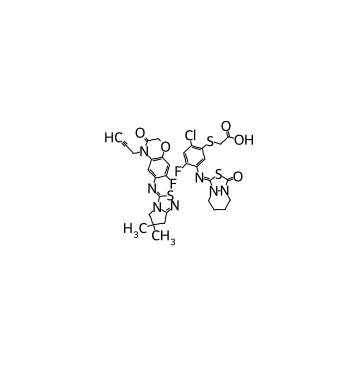 C#CCN1C(=O)COc2cc(F)c(/N=c3\snc4n3CC(C)(C)C4)cc21.O=C(O)CSc1cc(N=c2sc(=O)n3n2CCCC3)c(F)cc1Cl